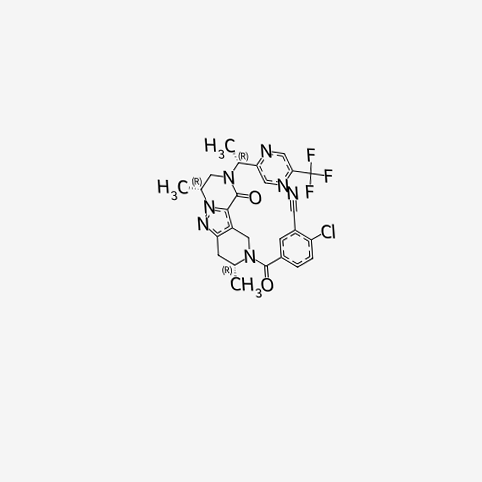 C[C@@H]1Cc2nn3c(c2CN1C(=O)c1ccc(Cl)c(C#N)c1)C(=O)N([C@H](C)c1cnc(C(F)(F)F)cn1)C[C@H]3C